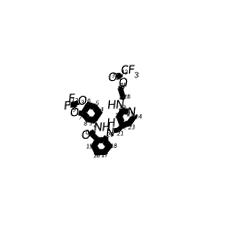 O=C(Nc1ccc2c(c1)OC(F)(F)O2)c1ccccc1NCc1ccnc(NCCOC(=O)C(F)(F)F)c1